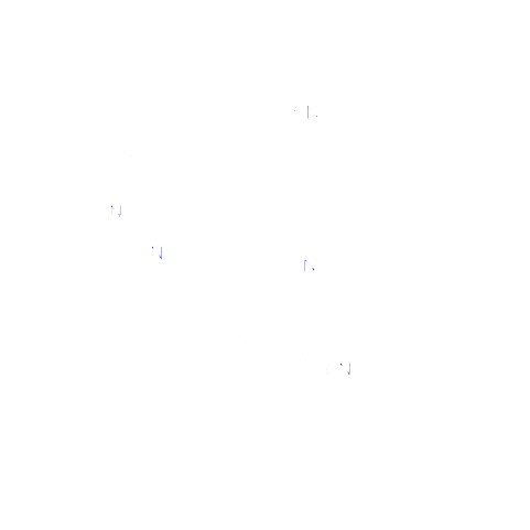 Cc1cccc(-c2ccc3c(c2)c2cc(-c4cccc(C)c4)ccc2n3-c2c(-c3cccc(C#N)c3)cc(-c3cc(-c4ccccc4)nc(-c4ccccc4)n3)cc2-c2cccc(C#N)c2)c1